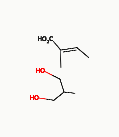 CC(CO)CO.CC=C(C)C(=O)O